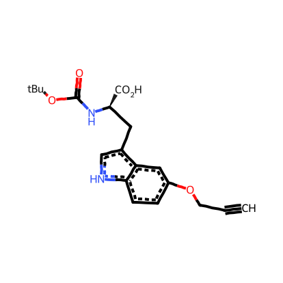 C#CCOc1ccc2[nH]cc(C[C@@H](NC(=O)OC(C)(C)C)C(=O)O)c2c1